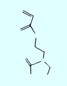 C=CC(=O)OCCN(CC)C(C)=O